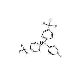 FC(F)(F)c1ccc([SH](c2ccc(I)cc2)c2ccc(C(F)(F)F)cc2)cc1